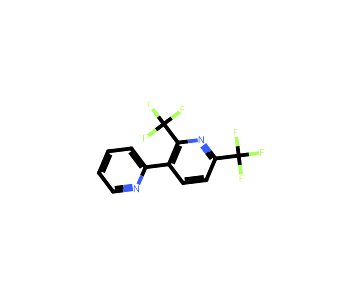 FC(F)(F)c1ccc(-c2ccccn2)c(C(F)(F)F)n1